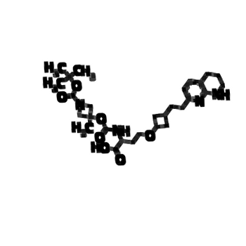 CC(C)(C)OC(=O)N1CC(C)(OC(=O)NC(CCOC2CC(CCc3ccc4c(n3)NCCC4)C2)C(=O)O)C1